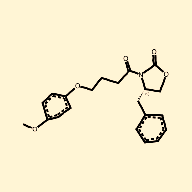 COc1ccc(OCCCC(=O)N2C(=O)OC[C@@H]2Cc2ccccc2)cc1